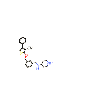 N#Cc1c(-c2ccccc2)csc1OCc1cccc(CNC2CCNCC2)c1